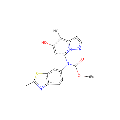 Cc1nc2ccc(N(C(=O)OC(C)(C)C)c3cc(O)c(C#N)c4ccnn34)cc2s1